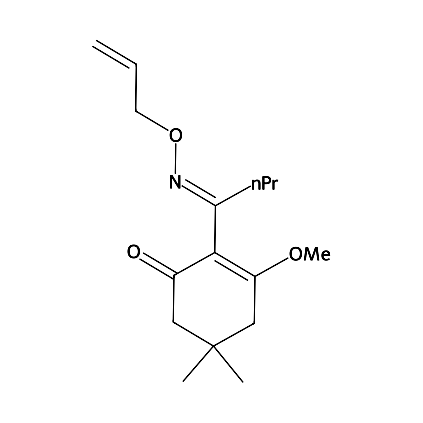 C=CCON=C(CCC)C1=C(OC)CC(C)(C)CC1=O